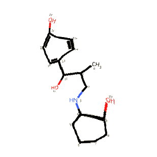 CC(CNC1CCCCC1O)C(O)c1ccc(O)cc1